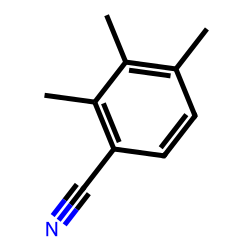 Cc1ccc(C#N)c(C)c1C